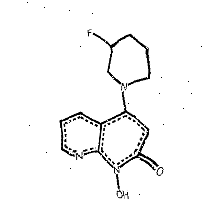 O=c1cc(N2CCCC(F)C2)c2cccnc2n1O